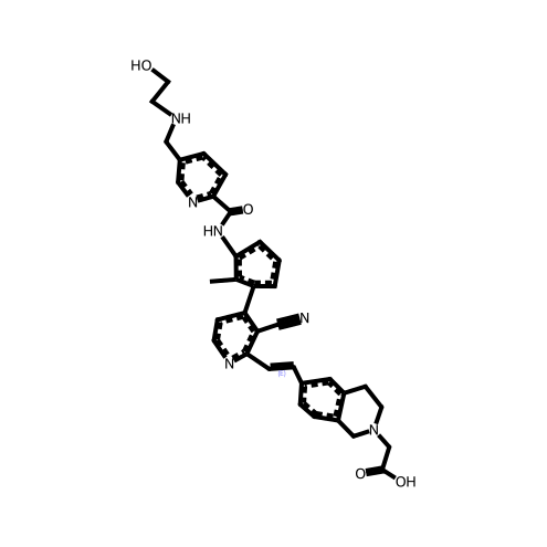 Cc1c(NC(=O)c2ccc(CNCCO)cn2)cccc1-c1ccnc(/C=C/c2ccc3c(c2)CCN(CC(=O)O)C3)c1C#N